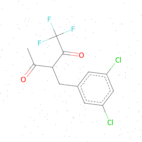 CC(=O)C(Cc1cc(Cl)cc(Cl)c1)C(=O)C(F)(F)F